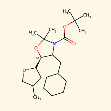 CC1COC([C@H]2OC(C)(C)N(C(=O)OC(C)(C)C)C2CC2CCCCC2)C1